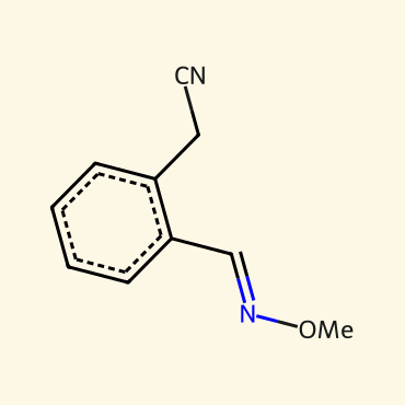 CON=Cc1ccccc1CC#N